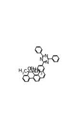 CC1(C)c2ccccc2-c2ccc3ccc4cc(-c5nc(-c6ccccc6)nc(-c6ccccc6)n5)ccc4c3c2C1(C)C